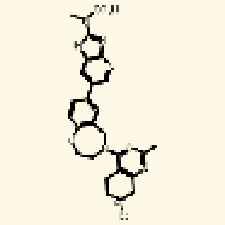 CC[C@H]1CCc2c(nc(C)nc2N2CCOc3ccc(-c4cnc5nc(N(C)C(=O)O)[nH]c5c4)cc3C2)C1